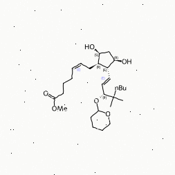 CCCCC(C)(C)[C@@H](/C=C/[C@@H]1[C@@H](C/C=C\CCCC(=O)OC)[C@@H](O)C[C@H]1O)OC1CCCCO1